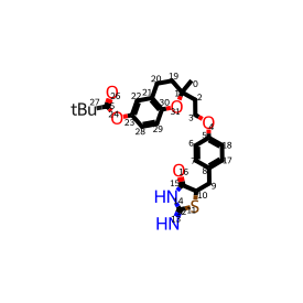 CC1(CCOc2ccc(CC3SC(=N)NC3=O)cc2)CCc2cc(OC(=O)C(C)(C)C)ccc2O1